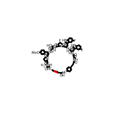 COc1ccc(C[C@@H]2NC(=O)[C@@H]([C@H](C)O)NC(=O)[C@@H]3C[C@H](F)CN3C(=O)[C@H](Cc3c[nH]c4ccc(F)cc34)NC(=O)[C@H](Cc3c[nH]c4ccc(F)cc34)NC(=O)[C@@H](C)NC(=O)Cc3ccc(cc3)CNC(=O)c3ccc(cc3)C[C@@H](C(N)=O)NC(=O)[C@]3(C)CCCN3C2=O)cc1